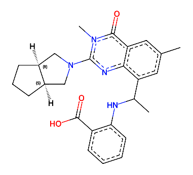 Cc1cc(C(C)Nc2ccccc2C(=O)O)c2nc(N3C[C@H]4CCC[C@H]4C3)n(C)c(=O)c2c1